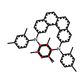 Cc1ccc(N(c2ccc3ccc4ccc5ccc(N(c6ccc(C)cc6C)c6ccc(C)cc6C)cc5c4c3c2)c2ccc(C)cc2C)c(C)c1